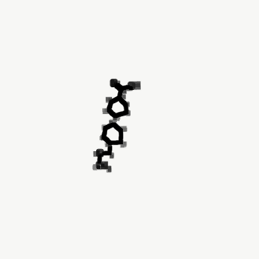 COC[C@H]1CC[C@H](C2CCC(C(=O)O)CC2)CC1